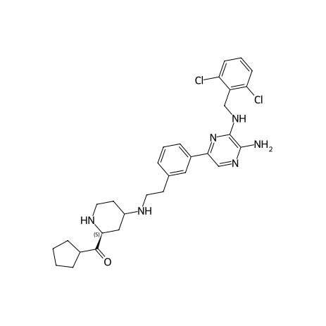 Nc1ncc(-c2cccc(CCNC3CCN[C@H](C(=O)C4CCCC4)C3)c2)nc1NCc1c(Cl)cccc1Cl